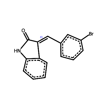 O=C1Nc2ccccc2/C1=C\c1cccc(Br)c1